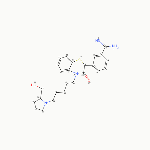 N=C(N)c1cccc(C2Sc3ccccc3N(CCCCCN3CCCC3CO)C2=O)c1